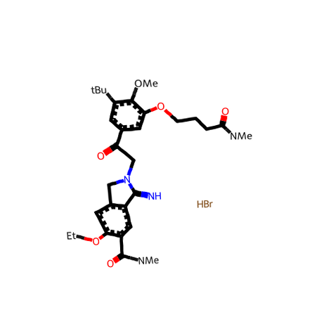 Br.CCOc1cc2c(cc1C(=O)NC)C(=N)N(CC(=O)c1cc(OCCCC(=O)NC)c(OC)c(C(C)(C)C)c1)C2